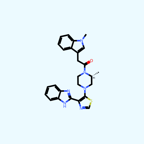 C[C@@H]1CN(c2scnc2-c2nc3ccccc3[nH]2)CCN1C(=O)Cc1cn(C)c2ccccc12